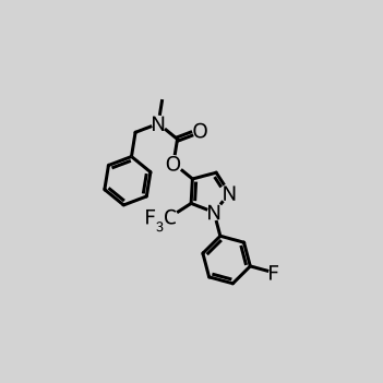 CN(Cc1ccccc1)C(=O)Oc1cnn(-c2cccc(F)c2)c1C(F)(F)F